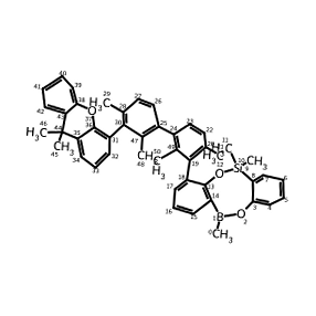 CB1Oc2ccccc2[Si](C)(C)Oc2c1cccc2-c1c(C)ccc(-c2ccc(C)c(-c3cccc4c3Oc3ccccc3C4(C)C)c2C)c1C